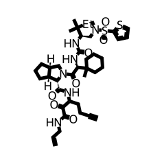 C#CCCC(NC(=O)[C@@H]1[C@H]2CCC[C@H]2CN1C(=O)[C@@H](NC(=O)N[C@H](CN(C)S(=O)(=O)c1cccs1)C(C)(C)CC)C1(C)CCCCC1)C(=O)C(=O)NCC=C